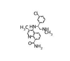 CNC[C@@H](Nc1c(C)cnc2c(C(N)=O)cccc12)c1cccc(Cl)c1